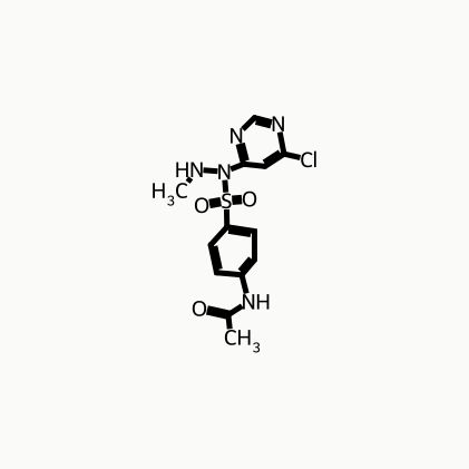 CNN(c1cc(Cl)ncn1)S(=O)(=O)c1ccc(NC(C)=O)cc1